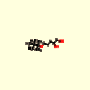 CC(C)(C)[Si](C)(C)OCCC[C@H](O)CO